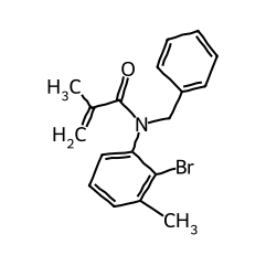 C=C(C)C(=O)N(Cc1ccccc1)c1cccc(C)c1Br